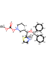 CC(C)(C)OC(=O)ON1CCC[C@H]([C@@H](O[Si](c2ccccc2)(c2ccccc2)C(C)(C)C)c2nccs2)C1